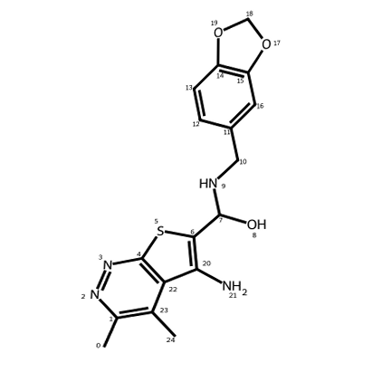 Cc1nnc2sc(C(O)NCc3ccc4c(c3)OCO4)c(N)c2c1C